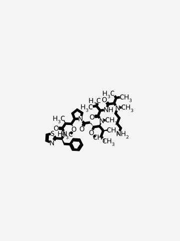 CC[C@H](C)[C@@H]([C@@H](CC(=O)N1CCCC1[C@H](OC)[C@@H](C)C(=O)N[C@@H](Cc1ccccc1)c1nccs1)OC)N(C)C(=O)C(NC(=O)C(C(C)C)N(C)CCCCN)C(C)C